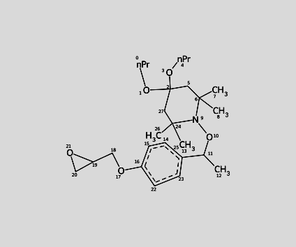 CCCOC1(OCCC)CC(C)(C)N(OC(C)c2ccc(OCC3CO3)cc2)C(C)(C)C1